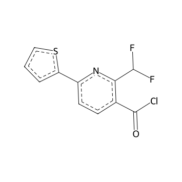 O=C(Cl)c1ccc(-c2cccs2)nc1C(F)F